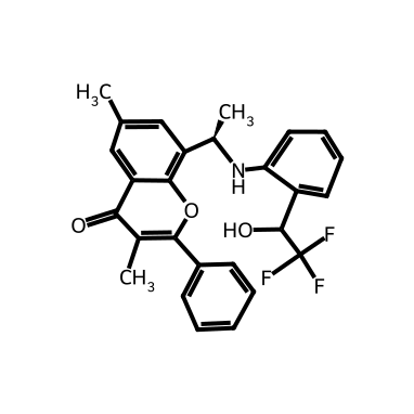 Cc1cc([C@@H](C)Nc2ccccc2C(O)C(F)(F)F)c2oc(-c3ccccc3)c(C)c(=O)c2c1